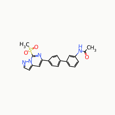 CC(=O)Nc1cccc(-c2ccc(-c3cc4ccnn4c(S(C)(=O)=O)n3)cc2)c1